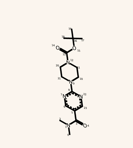 CN(C)C(=O)c1cnc(N2CCN(C(=O)OC(C)(C)C)CC2)nc1